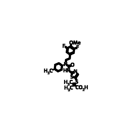 COc1c(F)cc(CCN(C(=O)Nc2ncc(SC(C)(C)C(=O)O)s2)[C@H]2CC[C@H](C)CC2)cc1F